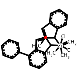 [CH2]=[Zr]([CH3])([CH3])([Cl])([Cl])([CH]1C=Cc2c(-c3ccccc3)cccc21)[CH]1C(C)=Cc2ccccc21